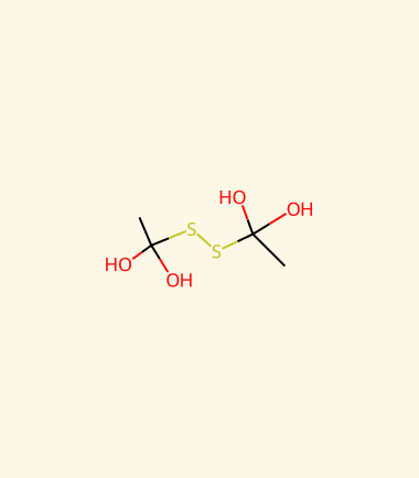 CC(O)(O)SSC(C)(O)O